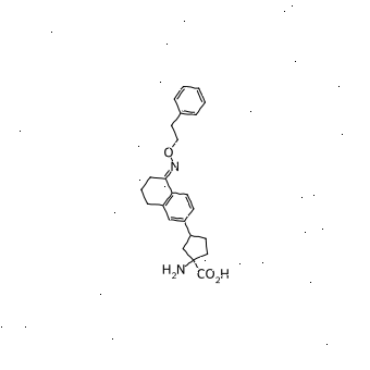 NC1(C(=O)O)CCC(c2ccc3c(c2)CCCC3=NOCCc2ccccc2)C1